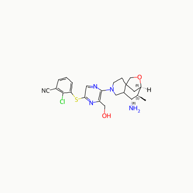 C[C@H]1[C@H](N)C2CN(c3ncc(Sc4cccc(C#N)c4Cl)nc3CO)CCC23CO[C@@H]1C3